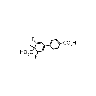 CC1(C(=O)O)C(F)=CC(c2ccc(C(=O)O)cc2)=CC1F